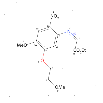 CCOC(=O)/C=N\c1cc(OCCOC)c(OC)cc1[N+](=O)[O-]